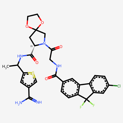 CC(NC(=O)[C@@H]1CC2(CN1C(=O)CNC(=O)c1ccc3c(c1)-c1ccc(Cl)cc1C3(F)F)OCCO2)c1cc(C(=N)N)cs1